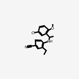 CCc1cc(C#N)ccc1NC(C)c1cc(Cl)ccc1OC